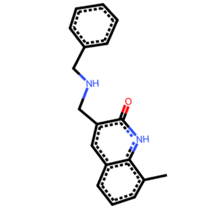 Cc1cccc2cc(CNCc3ccccc3)c(=O)[nH]c12